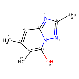 Cc1cc2nc(C(C)(C)C)nn2c(O)c1C#N